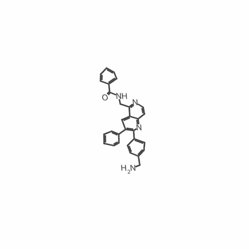 NCc1ccc(-c2nc3ccnc(CNC(=O)c4ccccc4)c3cc2-c2ccccc2)cc1